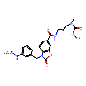 CCOC(=O)Nc1cccc(Cn2c(=O)oc3cc(C(=O)NCCCN(C)C(=O)OC(C)(C)C)ccc32)c1